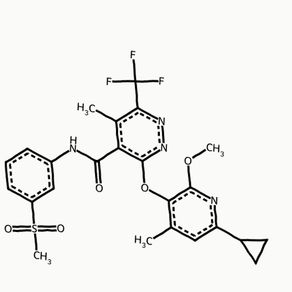 COc1nc(C2CC2)cc(C)c1Oc1nnc(C(F)(F)F)c(C)c1C(=O)Nc1cccc(S(C)(=O)=O)c1